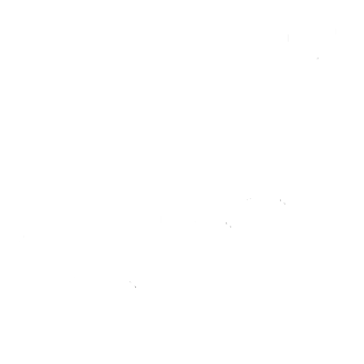 Cc1cc(C(C)N(C)C(=O)N2CCC3CN(C(=O)C4CCOCC4)C[C@H]3C2c2ccc(F)cc2)cc(C(F)(F)F)c1